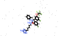 O=C(NCCCCCc1nn[nH]n1)N[C@](Cc1ccccc1)(c1ccc(F)cc1)c1cc(F)cc(OC(F)(F)C(F)F)c1